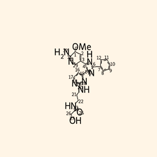 COC1C=C(c2[nH]c(-c3ccccc3)nc2-c2ccnc(NCCNC(=O)CO)n2)C=NC1N